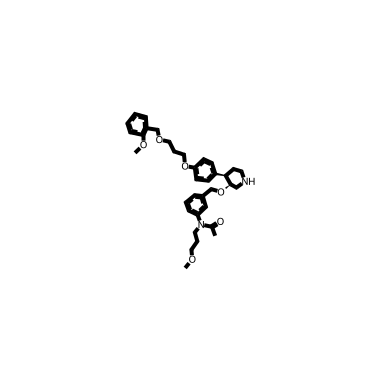 COCCCN(C(C)=O)c1cccc(CO[C@H]2CNCC[C@@H]2c2ccc(OCCCOCc3ccccc3OC)cc2)c1